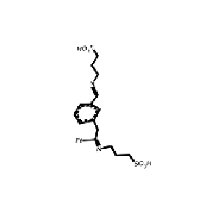 CC/C(Cc1cccc(/C=N/CCCS(=O)(=O)O)c1)=N/CCCS(=O)(=O)O